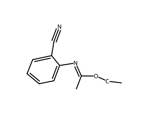 CCO/C(C)=N/c1ccccc1C#N